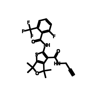 C#CCNC(=O)c1c(NC(=O)c2c(F)cccc2C(F)(F)F)sc2c1C(C)(C)OC2(C)C